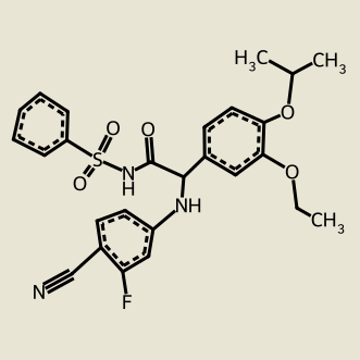 CCOc1cc(C(Nc2ccc(C#N)c(F)c2)C(=O)NS(=O)(=O)c2ccccc2)ccc1OC(C)C